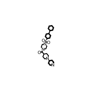 O=C(C1CCN(c2ccncc2)CC1)N1CCN(S(=O)(=O)c2ccc(-c3ccccc3)cc2)CC1